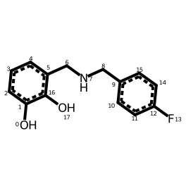 Oc1cccc(CNCc2ccc(F)cc2)c1O